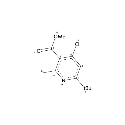 COC(=O)c1c(Cl)cc(C(C)(C)C)nc1C